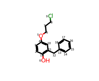 Oc1ccc(OCCCCl)cc1Cc1ccccc1